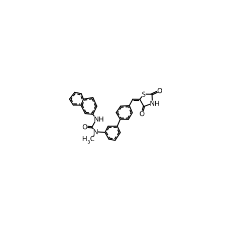 CN(C(=O)Nc1ccc2ccccc2c1)c1cccc(-c2ccc(C=C3SC(=O)NC3=O)cc2)c1